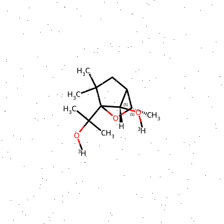 [3H]O[C@H]1C2CC(C)(C)C1(C(C)(C)O[3H])O[C@H]2C